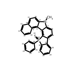 Cn1c2ccc3c(c2c2c4ccccc4ccc21)P(=S)(c1ccccc1)c1ccccc1-3